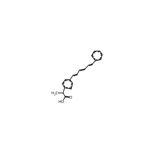 CC(C(=O)O)c1ccc(C=CC=CC=Cc2ccccc2)cc1